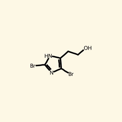 OCCc1[nH]c(Br)nc1Br